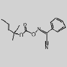 CCCC(C)(C)OC(=O)O/N=C(\C#N)c1ccccc1